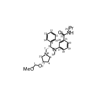 COCO[C@H]1CCN(C[C@H](c2ccccc2)N(C)c2cccc(C(=O)NC(C)C)c2)C1